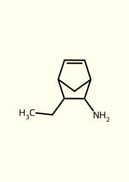 CCC1C2C=CC(C2)C1N